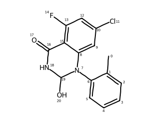 Cc1ccccc1N1c2cc(Cl)cc(F)c2C(=O)NC1O